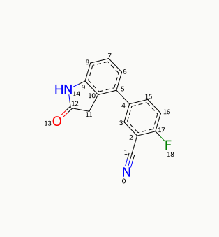 N#Cc1cc(-c2cccc3c2CC(=O)N3)ccc1F